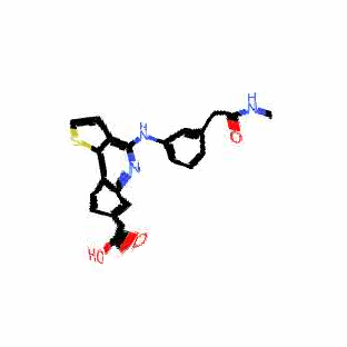 CNC(=O)Cc1cccc(Nc2nc3cc(C(=O)O)ccc3c3sccc23)c1